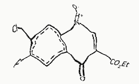 CCOC(=O)C1=C[NH+]([O-])c2cc(Cl)c(F)cc2C1=O